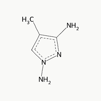 Cc1cn(N)nc1N